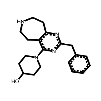 OC1CCN(c2nc(Cc3ccccc3)nc3c2CCNCC3)CC1